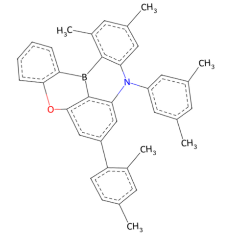 Cc1cc(C)cc(N2c3cc(C)cc(C)c3B3c4ccccc4Oc4cc(-c5ccc(C)cc5C)cc2c43)c1